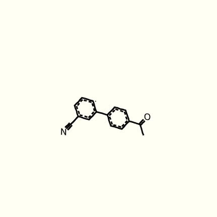 CC(=O)c1ccc(-c2[c]ccc(C#N)c2)cc1